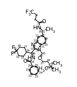 C[C@@H](NC(=O)CCC(F)(F)F)c1ccc2c(c1)nc([C@@H](NC(=O)c1ccccc1)C1CCC(F)(F)CC1)n2COCC[Si](C)(C)C